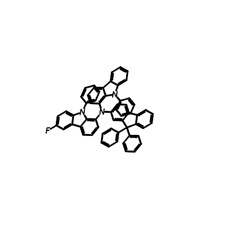 Fc1ccc2c(c1)c1cccc(N(c3ccc4c(c3)C(c3ccccc3)(c3ccccc3)c3ccccc3-4)c3cccc4c5ccccc5n(-c5ccccc5)c34)c1n2-c1ccccc1